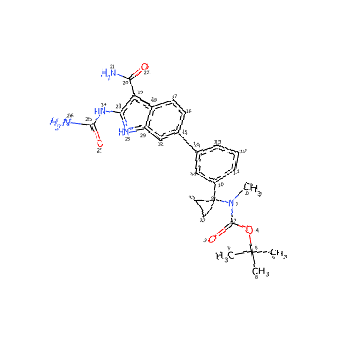 CN(C(=O)OC(C)(C)C)C1(c2cccc(-c3ccc4c(C(N)=O)c(NC(N)=O)[nH]c4c3)c2)CC1